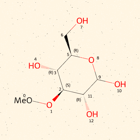 COO[C@H]1[C@H](O)[C@@H](CO)OC(O)[C@@H]1O